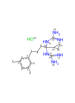 Cc1cc(C)cc(CCCC(NC(=N)N)(NC(=N)N)C2CC2)c1.Cl